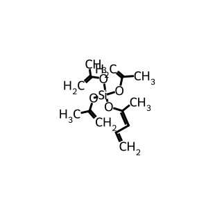 C=CC=C(C)O[Si](OC(=C)C)(OC(=C)C)OC(=C)C